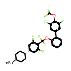 CCCC[C@H]1CC[C@H](c2cc(F)c(C(F)(F)Oc3ccccc3-c3cc(F)c(OC(F)F)c(F)c3)c(F)c2)CC1